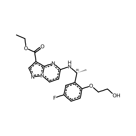 CCOC(=O)c1cnn2ccc(N[C@H](C)c3cc(F)ccc3OCCO)nc12